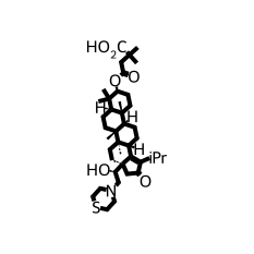 CC(C)C1=C2[C@H]3CC[C@@H]4[C@@]5(C)CC[C@H](OC(=O)CC(C)(C)C(=O)O)C(C)(C)[C@@H]5CC[C@@]4(C)[C@]3(C)CC[C@@]2([C@@H](O)CN2CCSCC2)CC1=O